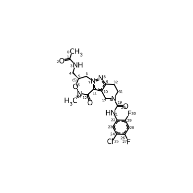 CC(=O)NC[C@H]1Cn2nc3c(c2C(=O)N(C)O1)CN(C(=O)Nc1cc(Cl)c(F)cc1F)CC3